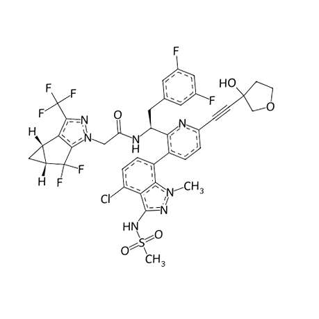 Cn1nc(NS(C)(=O)=O)c2c(Cl)ccc(-c3ccc(C#CC4(O)CCOC4)nc3[C@H](Cc3cc(F)cc(F)c3)NC(=O)Cn3nc(C(F)(F)F)c4c3C(F)(F)[C@@H]3C[C@H]43)c21